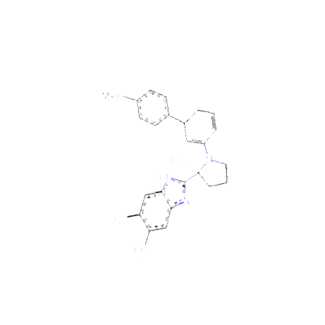 COc1ccc(C2[C]=C(N3CCC[C@@]3(C)c3nc4cc(C)c(C)cc4[nH]3)C=CC2)cc1